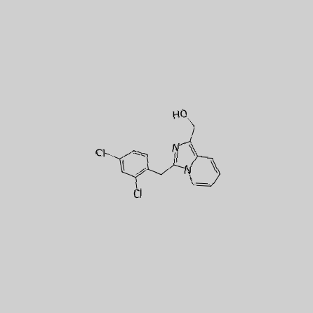 OCc1nc(Cc2ccc(Cl)cc2Cl)n2ccccc12